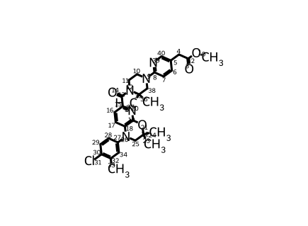 COC(=O)Cc1ccc(N2CCN(C(=O)c3ccc4c(n3)OC(C)(C)CN4c3ccc(Cl)c(C)c3)C(C)(C)C2)nc1